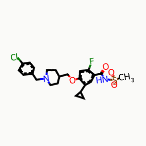 CS(=O)(=O)NC(=O)c1cc(C2CC2)c(OCC2CCN(Cc3ccc(Cl)cc3)CC2)cc1F